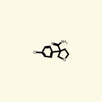 NC(=S)C1(c2ccc(Cl)cc2)CCOC1